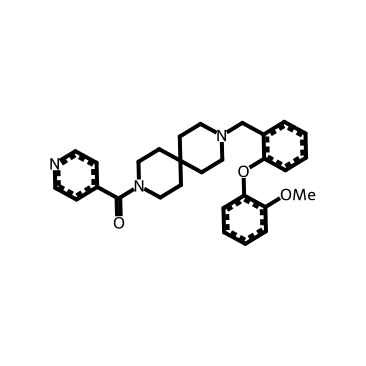 COc1ccccc1Oc1ccccc1CN1CCC2(CC1)CCN(C(=O)c1ccncc1)CC2